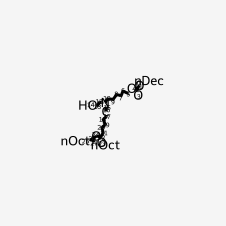 CCCCCCCCCCOC(=O)OCCCCCCN(CCO)CCCCCCCC(=O)OC(CCCCCCCC)CCCCCCCC